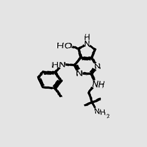 Cc1cccc(Nc2nc(NCC(C)(C)N)nc3c2C(O)NC3)c1